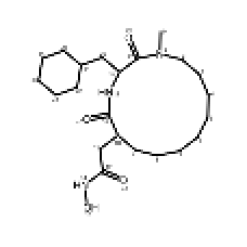 CN1CCCCCCCCC(CC(=O)NO)C(=O)NC(CC2CCCCC2)C1=O